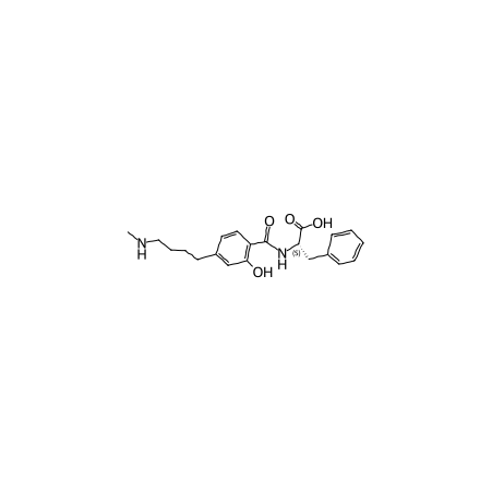 CNCCCCc1ccc(C(=O)N[C@@H](Cc2ccccc2)C(=O)O)c(O)c1